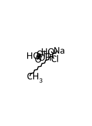 CCCCCCCCCCCCC(Cl)C(O)[CH2][Na].O=P(O)(O)O